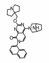 O=c1c2nc(OCC34CCCN3CCC4)nc(N3CC4CCC(C3)N4)c2ccn1-c1cccc2ccccc12